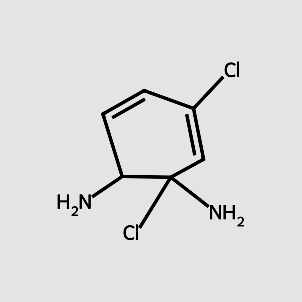 NC1C=CC(Cl)=CC1(N)Cl